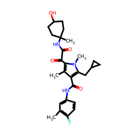 Cc1cc(NC(=O)c2c(C)c(C(=O)C(=O)NC3(C)CCC(O)CC3)n(C)c2CC2CC2)ccc1F